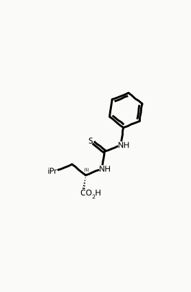 CC(C)C[C@H](NC(=S)Nc1ccccc1)C(=O)O